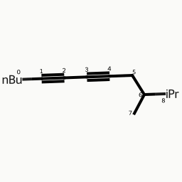 CCCCC#CC#CCC(C)C(C)C